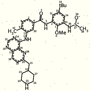 COc1c(NC(=O)c2ccc(C)c(Nc3ncnc4ccc(CC5CCNCC5)nc34)c2)cc(C(C)(C)C)cc1N[S+](C)[O-]